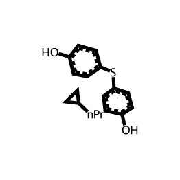 CCCC1CC1.Oc1ccc(Sc2ccc(O)cc2)cc1